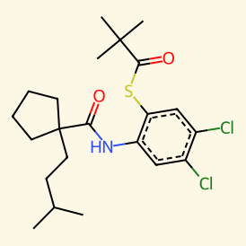 CC(C)CCC1(C(=O)Nc2cc(Cl)c(Cl)cc2SC(=O)C(C)(C)C)CCCC1